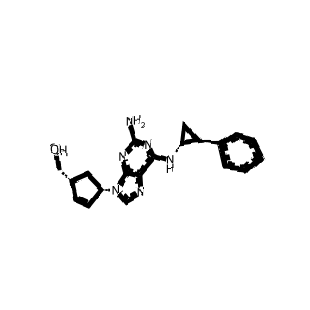 Nc1nc(N[C@@H]2C[C@H]2c2ccccc2)c2ncn([C@@H]3C=C[C@H](CO)C3)c2n1